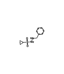 O=S(=O)(NNCc1ccccc1)C1CC1